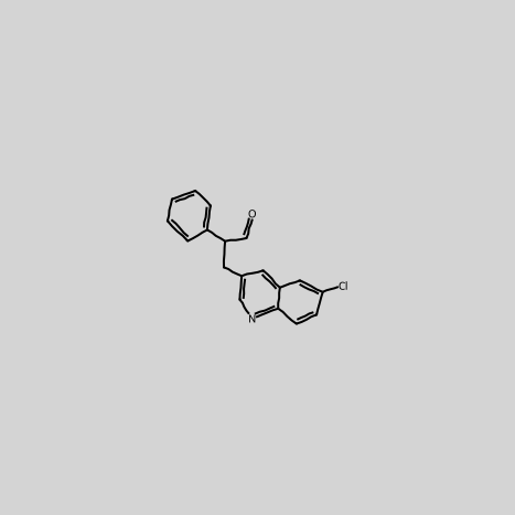 O=CC(Cc1cnc2ccc(Cl)cc2c1)c1ccccc1